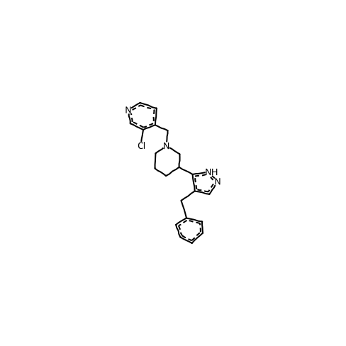 Clc1cnccc1CN1CCCC(c2[nH]ncc2Cc2ccccc2)C1